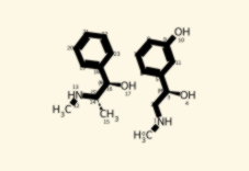 CNC[C@H](O)c1cccc(O)c1.CN[C@@H](C)[C@H](O)c1ccccc1